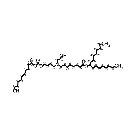 CCCCCCCCCCC(C)OC(=O)OCCCCN(CCO)CCCCCCCC(=O)OC(CCCCCCCC)CCCCCCCC